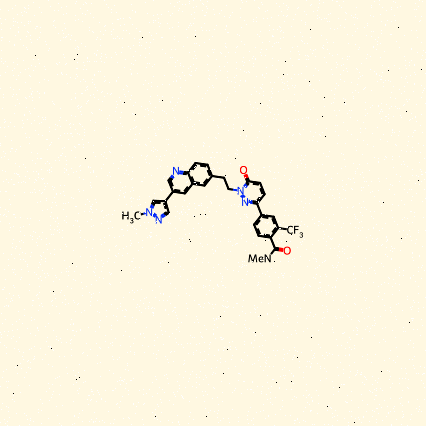 CNC(=O)c1ccc(-c2ccc(=O)n(CCc3ccc4ncc(-c5cnn(C)c5)cc4c3)n2)cc1C(F)(F)F